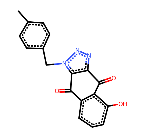 Cc1ccc(Cn2nnc3c2C(=O)c2cccc(O)c2C3=O)cc1